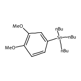 CCC[CH2][Sn]([CH2]CCC)([CH2]CCC)[c]1ccc(OC)c(OC)c1